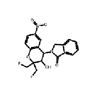 O=C1c2ccccc2CN1C1c2cc([N+](=O)[O-])ccc2OC(CF)(CF)C1O